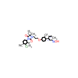 C\C=C/C(=C\C=N\O)c1ccc(OCCCN2C(=O)N(c3ccc(C#N)c(Cl)c3C)C(=O)C2(C)C)cc1C(F)(F)F